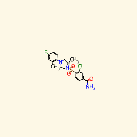 Cc1cc(F)ccc1N1CCN(S(=O)(=O)c2ccc(C(N)=O)cc2Cl)[C@H](C)C1